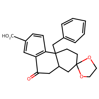 O=C(O)c1ccc2c(c1)C(=O)CC1CC3(CCC21Cc1ccccc1)OCCO3